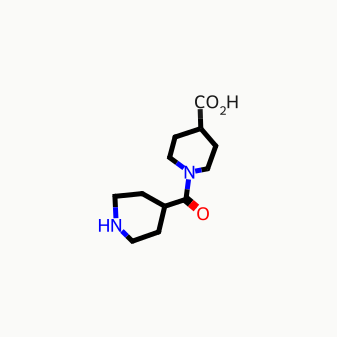 O=C(O)C1CCN(C(=O)C2CCNCC2)CC1